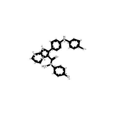 CN(C(=O)c1c(-c2ccc(Nc3ccc(F)cc3)cc2)nc2ncccn12)c1ccc(Cl)cc1